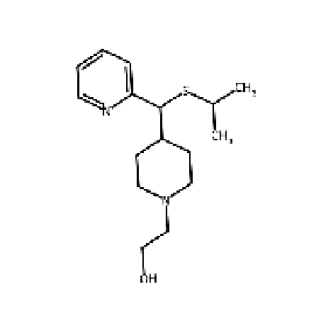 CC(C)SC(c1ccccn1)C1CCN(CCO)CC1